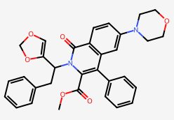 COC(=O)c1c(-c2ccccc2)c2cc(N3CCOCC3)ccc2c(=O)n1C(Cc1ccccc1)C1=COCO1